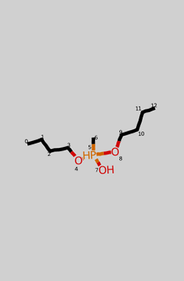 CCCCO[PH](C)(O)OCCCC